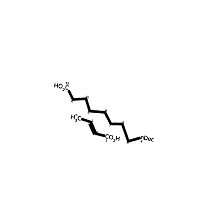 CC=CC(=O)O.CCCCCCCCCCCCCCCCCC(=O)O